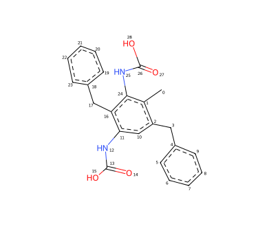 Cc1c(Cc2ccccc2)cc(NC(=O)O)c(Cc2ccccc2)c1NC(=O)O